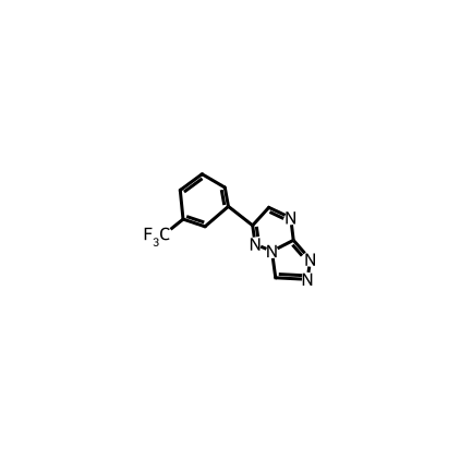 FC(F)(F)c1cccc(-c2cnc3nncn3n2)c1